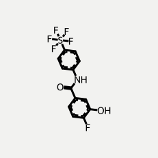 O=C(Nc1ccc(S(F)(F)(F)(F)F)cc1)c1ccc(F)c(O)c1